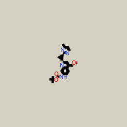 COCc1cc([C@H]2C[C@@H]2c2nccc(C)n2)nc2cc(NC(=O)OC(C)(C)C)ccc12